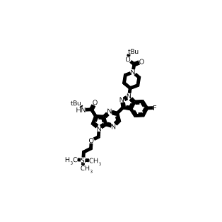 CC(C)(C)NC(=O)c1cn(COCC[Si](C)(C)C)c2ncc(-c3nn(C4CCN(C(=O)OC(C)(C)C)CC4)c4cc(F)ccc34)nc12